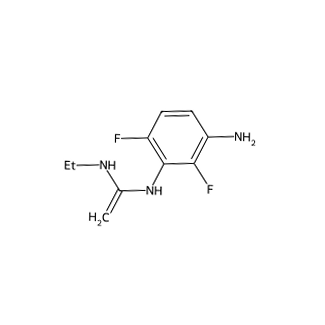 C=C(NCC)Nc1c(F)ccc(N)c1F